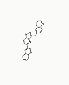 C1=Nc2ccc(Cc3nnc4ccc(-c5cnc6ccccc6c5)nn34)cc2CC1